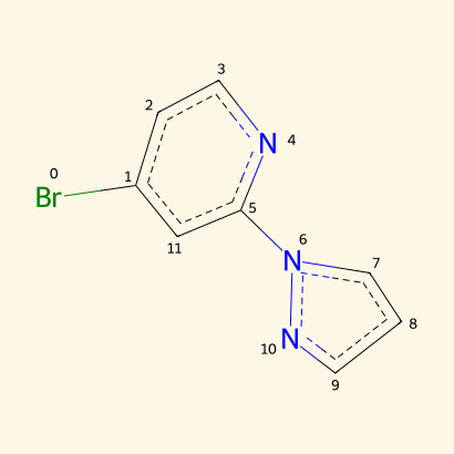 Brc1ccnc(-n2cccn2)c1